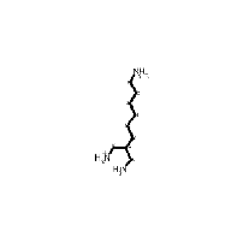 NCCCCCCC(CN)CN